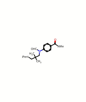 CCCC(C)CC(C)(C)CN(C=O)c1ccc(C(=O)NC)cc1